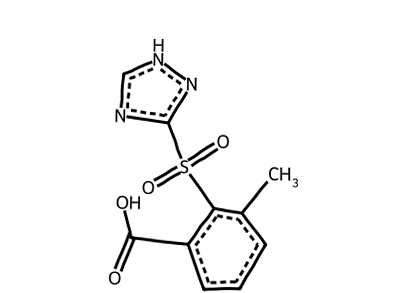 Cc1cccc(C(=O)O)c1S(=O)(=O)c1nc[nH]n1